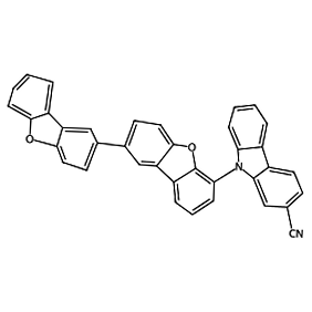 N#Cc1ccc2c3ccccc3n(-c3cccc4c3oc3ccc(-c5ccc6oc7ccccc7c6c5)cc34)c2c1